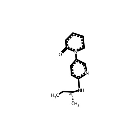 CC[C@@H](C)Nc1ccc(-n2ccccc2=O)cn1